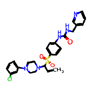 C=CC(N1CCN(c2cccc(Cl)c2)CC1)S(=O)(=O)c1ccc(NC(=O)NCc2cccnc2)cc1